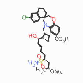 CO[C@H](C)C[C@H](CC/C=C/[C@H](O)[C@@H]1CC[C@H]1CN1C[C@@]2(CCCc3cc(Cl)ccc32)COc2ccc(C(=O)O)cc21)S(N)(=O)=O